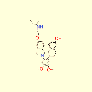 CCC(C)NCCOc1ccc(CN(CC)c2cc(OC)c(OC)cc2C2CCc3cc(O)ccc3C2)cc1